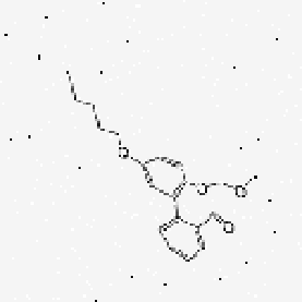 CCCCCOc1ccc(OCOC)c(-c2ccccc2C=O)c1